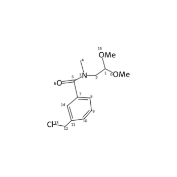 COC(CN(C)C(=O)c1cccc(CCl)c1)OC